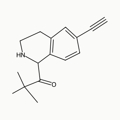 C#Cc1ccc2c(c1)CCNC2C(=O)C(C)(C)C